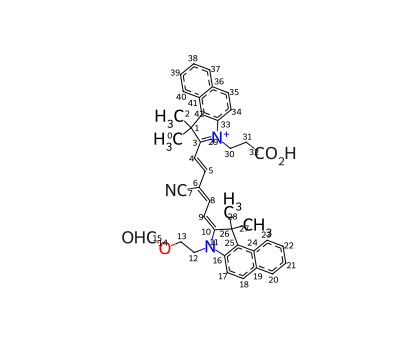 CC1(C)C(/C=C/C(C#N)=C/C=C2/N(CCOC=O)c3ccc4ccccc4c3C2(C)C)=[N+](CCC(=O)O)c2ccc3ccccc3c21